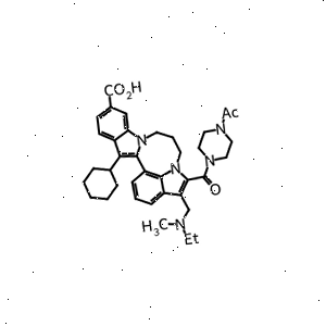 CCN(C)Cc1c(C(=O)N2CCN(C(C)=O)CC2)n2c3c(cccc13)-c1c(C3CCCCC3)c3ccc(C(=O)O)cc3n1CCC2